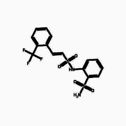 NS(=O)(=O)c1ccccc1NS(=O)(=O)C=Cc1ccccc1C(F)(F)F